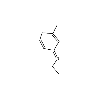 CCN=C1C=CCC(C)=C1